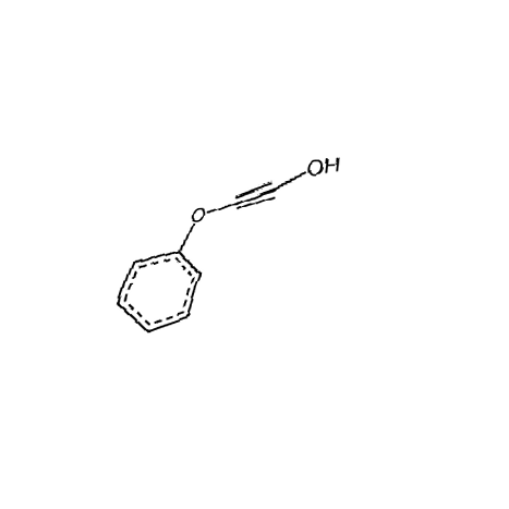 OC#COc1ccccc1